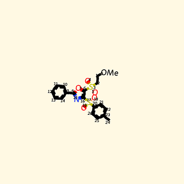 COCCS(=O)(=O)c1oc(-c2ccccc2)nc1S(=O)(=O)c1ccc(C)cc1